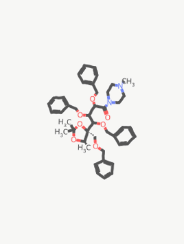 C[C@H]1OC(C)(C)O[C@@]1(COCc1ccccc1)C(OCc1ccccc1)C(OCc1ccccc1)C(OCc1ccccc1)C(=O)N1CCN(C)CC1